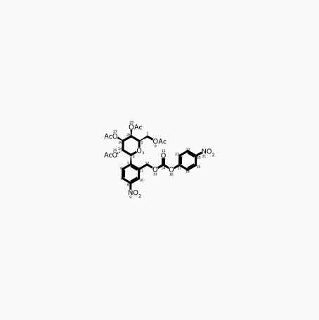 CC(=O)OC[C@H]1O[C@@H](c2ccc([N+](=O)[O-])cc2COC(=O)Oc2ccc([N+](=O)[O-])cc2)[C@H](OC(C)=O)[C@@H](OC(C)=O)[C@H]1OC(C)=O